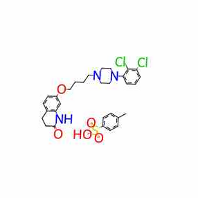 Cc1ccc(S(=O)(=O)O)cc1.O=C1CCc2ccc(OCCCCN3CCN(c4cccc(Cl)c4Cl)CC3)cc2N1